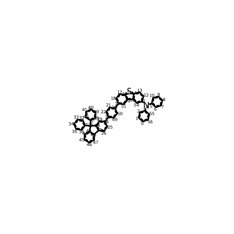 c1ccc(N(c2ccccc2)c2ccc3sc4ccc(-c5ccc(-c6ccc7c(c6)C(c6ccccc6)(c6ccccc6)c6ccccc6-7)cc5)cc4c3c2)cc1